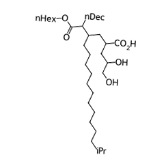 CCCCCCCCCCC(C(=O)OCCCCCC)C(CCCCCCCCCCCC(C)C)CC(CC(O)CO)C(=O)O